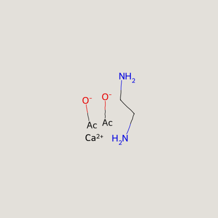 CC(=O)[O-].CC(=O)[O-].NCCN.[Ca+2]